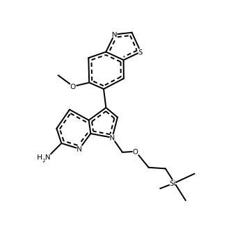 COc1cc2ncsc2cc1-c1cn(COCC[Si](C)(C)C)c2nc(N)ccc12